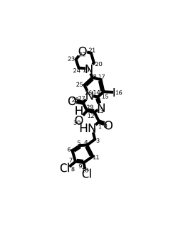 O=C(NCc1ccc(Cl)c(Cl)c1)c1nc2c(I)cc(N3CCOCC3)cn2c(=O)c1O